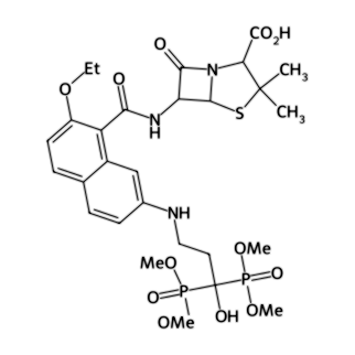 CCOc1ccc2ccc(NCCC(O)(P(=O)(OC)OC)P(=O)(OC)OC)cc2c1C(=O)NC1C(=O)N2C1SC(C)(C)C2C(=O)O